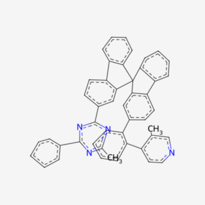 Cc1nc(-c2ccccc2)nc(-c2ccc3c(c2)C2(c4ccccc4-3)c3ccccc3-c3ccc(-c4ccccc4-c4ccncc4C)cc32)n1